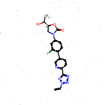 C=Cn1nnc(-c2ccc(-c3ccc(N4C[C@@H](C(O)C(F)(F)F)OC4=O)cc3F)cn2)n1